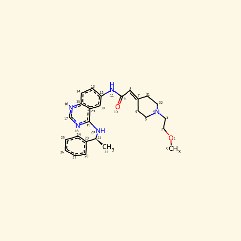 COCCN1CCC(=CC(=O)Nc2ccc3ncnc(N[C@@H](C)c4ccccc4)c3c2)CC1